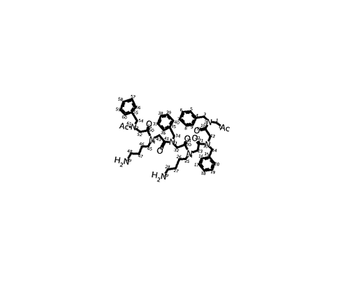 CC(=O)CN(Cc1ccccc1)C(=O)CN(Cc1ccccc1)C(=O)CN(CCCCN)C(=O)CN(Cc1ccccc1)C(=O)CN(CCCCN)C(=O)CN(Cc1ccccc1)C(C)=O